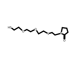 O=C1CCCN1CCSCCOCCOCCS